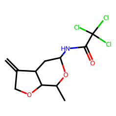 C=C1COC2C(C)OC(NC(=O)C(Cl)(Cl)Cl)CC12